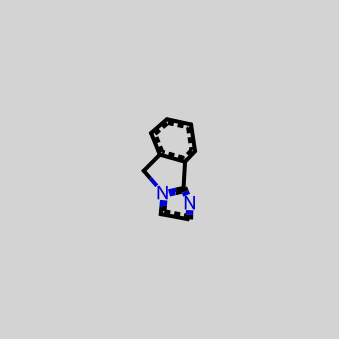 c1ccc2c(c1)Cn1ccnc1-2